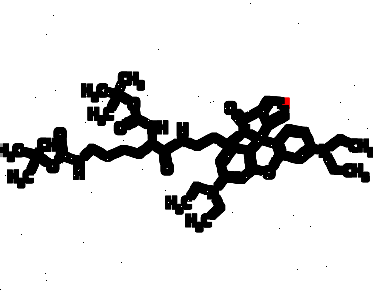 CCN(CC)c1ccc2c(c1)Oc1cc(N(CC)CC)ccc1C21c2ccccc2C(=O)N1CCCNC(=O)C(CCCCNC(=O)OC(C)(C)C)NC(=O)OC(C)(C)C